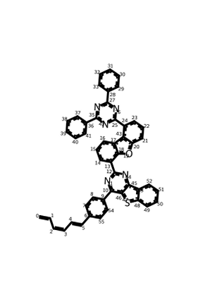 C=C/C=C\C=C\c1ccc(-c2nc(-c3cccc4c3oc3cccc(-c5nc(-c6ccccc6)nc(-c6ccccc6)n5)c34)nc3c2sc2ccccc23)cc1